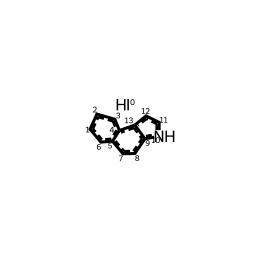 I.c1ccc2c(c1)ccc1[nH]ccc12